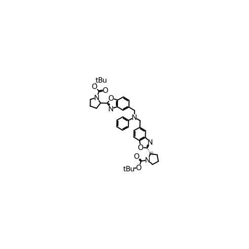 CC(C)(C)OC(=O)N1CCCC1c1nc2cc(CN(Cc3ccc4oc([C@@H]5CCCN5C(=O)OC(C)(C)C)nc4c3)c3ccccc3)ccc2o1